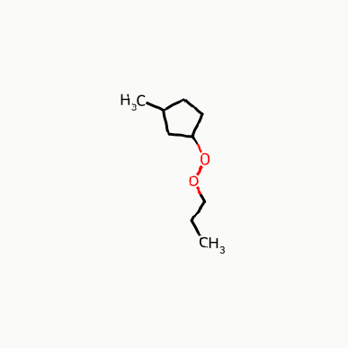 CCCOOC1CCC(C)C1